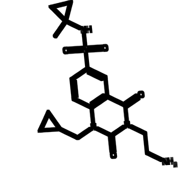 CC1(NS(=O)(=O)c2ccc3c(c2)c(=O)n(CCN)c(=O)n3CC2CC2)CC1